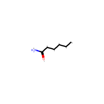 CCCC[CH]C(N)=O